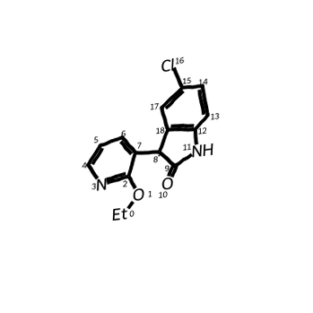 CCOc1ncccc1[C]1C(=O)Nc2ccc(Cl)cc21